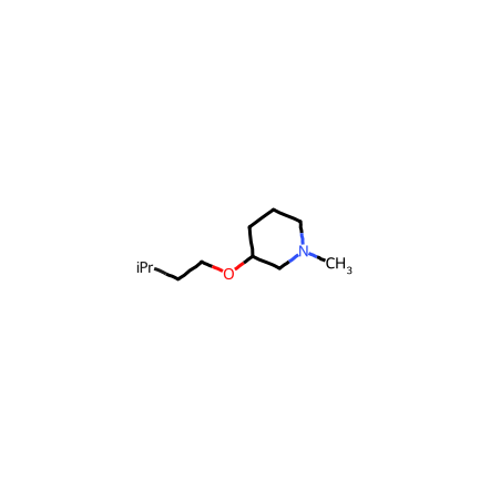 CC(C)CCOC1CCCN(C)C1